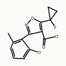 Cc1cccc(Cl)c1-c1noc(C2(F)CC2)c1C(=O)Cl